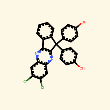 Oc1ccc(C2(c3ccc(O)cc3)c3ccccc3-c3nc4cc(Cl)c(Cl)cc4nc32)cc1